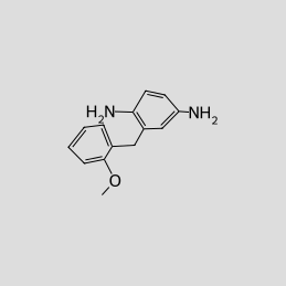 COc1ccccc1Cc1cc(N)ccc1N